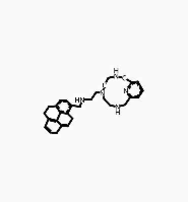 C1=CC2=C3C(=CCc4c(CNCCN5CCNCc6cccc(n6)CNCC5)ccc(c43)CC2)C1